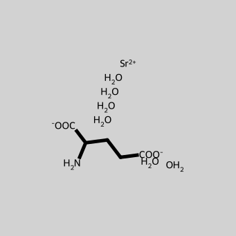 NC(CCC(=O)[O-])C(=O)[O-].O.O.O.O.O.O.[Sr+2]